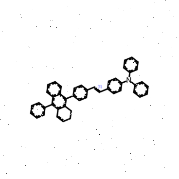 C1=Cc2c(c(-c3ccc(/C=C/c4ccc(N(c5ccccc5)c5ccccc5)cc4)cc3)c3ccccc3c2-c2ccccc2)CC1